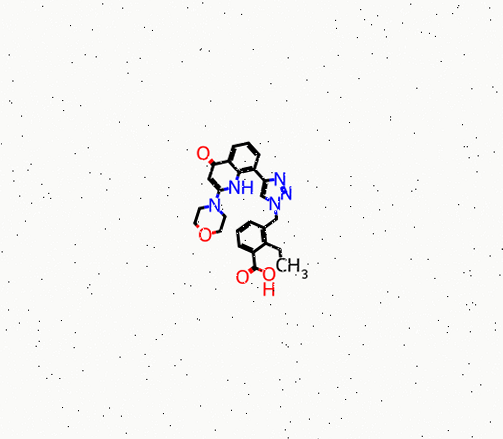 CCc1c(Cn2cc(-c3cccc4c(=O)cc(N5CCOCC5)[nH]c34)nn2)cccc1C(=O)O